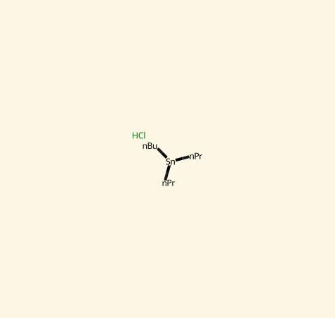 CCC[CH2][Sn]([CH2]CC)[CH2]CC.Cl